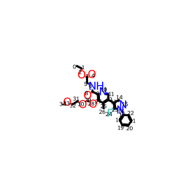 CCOC(=O)CNC(=O)c1ncc(-c2cnn(-c3ccccc3)c2F)c(C)c1OCOCCOC